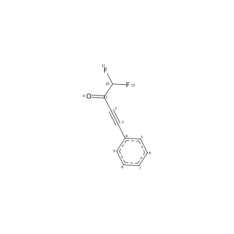 O=C(C#Cc1ccccc1)C(F)F